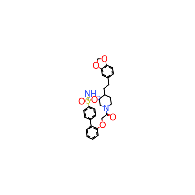 NS(=O)(=O)c1ccc(-c2ccccc2OCC(=O)N2CCC(CCc3ccc4c(c3)OCO4)CC2)cc1